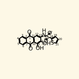 O=C1c2ccccc2C(=O)c2c1cc(NS(=O)(=O)c1cccs1)c(O)c2O